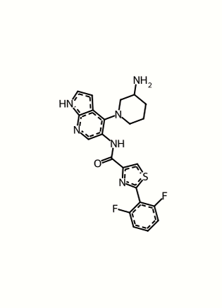 NC1CCCN(c2c(NC(=O)c3csc(-c4c(F)cccc4F)n3)cnc3[nH]ccc23)C1